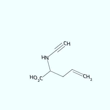 C#CNC(CC=C)C(=O)O